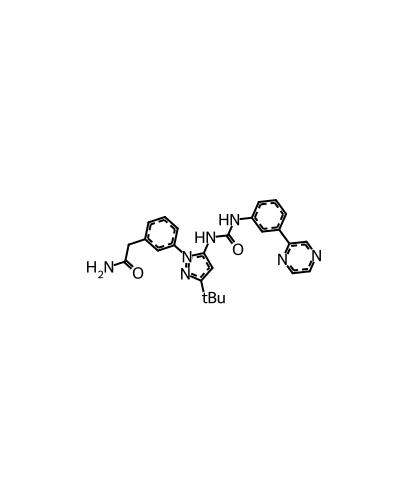 CC(C)(C)c1cc(NC(=O)Nc2cccc(-c3cnccn3)c2)n(-c2cccc(CC(N)=O)c2)n1